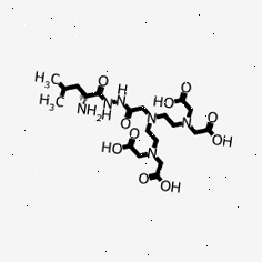 CC(C)C[C@@H](N)C(=O)NNC(=O)CN(CCN(CC(=O)O)CC(=O)O)CCN(CC(=O)O)CC(=O)O